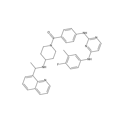 Cc1cc(Nc2ccnc(Nc3ccc(C(=O)N4CCC(NC(C)c5cccc6cccnc56)CC4)cc3)n2)ccc1F